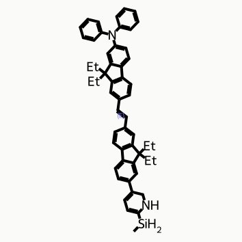 CCC1(CC)c2cc(/C=C/c3ccc4c(c3)C(CC)(CC)c3cc(N(c5ccccc5)c5ccccc5)ccc3-4)ccc2-c2ccc(C3=CC=C([SiH2]C)NC3)cc21